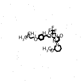 COC1CCCCN(c2cc(=O)n3c(n2)N(CCc2ccc(OCCN(C)C)cc2)[C@](C)(C(F)(F)F)C3)C1